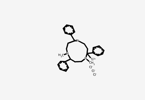 CN1CCC(c2ccccc2)NCC[C]([Ti+3])(c2ccccc2)N(C)CCC1c1ccccc1.[Cl-].[Cl-].[Cl-]